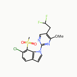 COc1nc(-n2ccc3ccc(Cl)c(S(C)(=O)=O)c32)ncc1CC(F)F